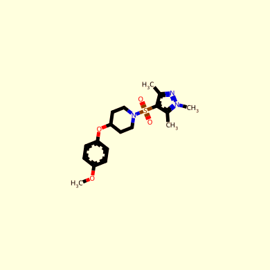 COc1ccc(OC2CCN(S(=O)(=O)c3c(C)nn(C)c3C)CC2)cc1